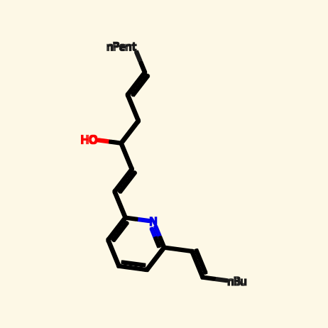 CCCCC=Cc1cccc(C=CC(O)CC=CCCCCC)n1